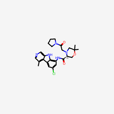 Cc1cncc2[nH]c3c(NC(=O)[C@@H]4COC(C)(C)CN4CC(=O)N4CCCC4)cc(Cl)cc3c12